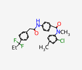 CCC(F)(F)c1ccc(CC(=O)Nc2ccc(C(=O)N(C)c3ccc(C)cc3Cl)cc2)cc1